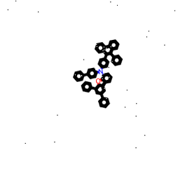 c1ccc(-c2ccc(N(c3ccc(-c4c(-c5ccccc5)c5ccccc5c5ccccc45)cc3)c3cccc4c3oc3c(-c5ccccc5)cc(-c5ccccc5)cc34)cc2)cc1